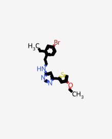 CCOc1csc(-c2cc(NCCc3ccc(Br)cc3CC)ncn2)c1